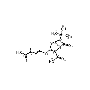 CC(=O)NC=CSC1=C(C(=O)O)N2C(=O)C(C(C)(C)O)C2C1